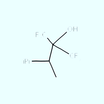 CC(C)C(C)C(O)(C(F)(F)F)C(F)(F)F